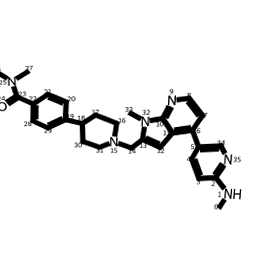 CNc1ccc(-c2ccnc3c2cc(CN2CCC(c4ccc(C(=O)N(C)C)cc4)CC2)n3C)cn1